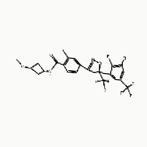 CO[C@H]1C[C@@H](NC(=O)c2ccc(C3=NOC(c4cc(C(F)(F)F)cc(Cl)c4F)(C(F)(F)F)C3)cc2C)C1